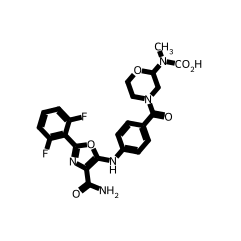 CN(C(=O)O)C1CN(C(=O)c2ccc(Nc3oc(-c4c(F)cccc4F)nc3C(N)=O)cc2)CCO1